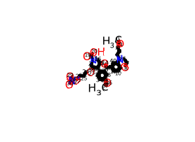 COCCCN1CCOc2ccc(CO[C@H]3CN(C(=O)O)C[C@@H](OCCCO[N+](=O)[O-])[C@@H]3c3ccc(OC)cc3)cc21